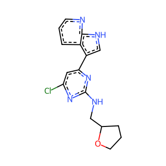 Clc1cc(-c2c[nH]c3ncccc23)nc(NCC2CCCO2)n1